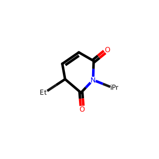 CCC1C=CC(=O)N(C(C)C)C1=O